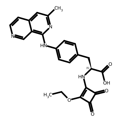 CCOc1c(N[C@@H](Cc2ccc(Nc3nc(C)cc4ccncc34)cc2)C(=O)O)c(=O)c1=O